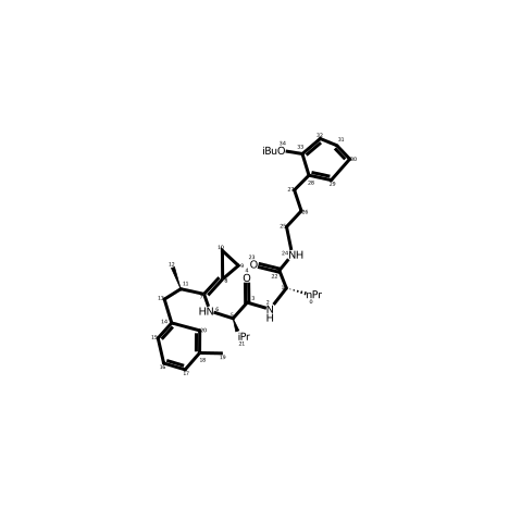 CCC[C@H](NC(=O)[C@H](NC(=C1CC1)[C@H](C)Cc1cccc(C)c1)C(C)C)C(=O)NCCCc1ccccc1OCC(C)C